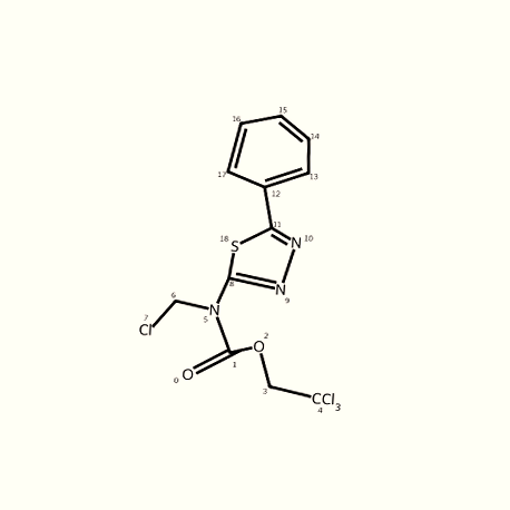 O=C(OCC(Cl)(Cl)Cl)N(CCl)c1nnc(-c2ccccc2)s1